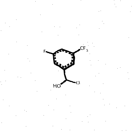 OC(Cl)c1cc(F)cc(C(F)(F)F)c1